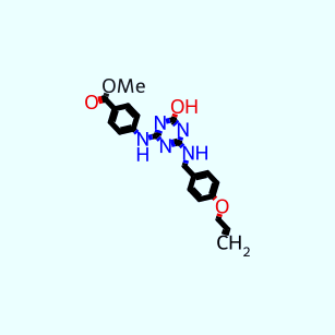 C=CCOc1ccc(CNc2nc(O)nc(Nc3ccc(C(=O)OC)cc3)n2)cc1